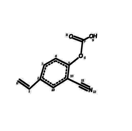 C=Cc1ccc(OC(=O)O)c(C#N)c1